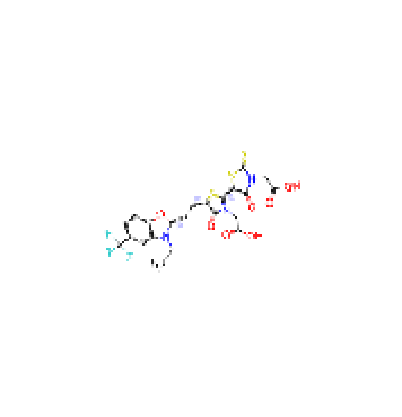 CCN1/C(=C/C=c2/s/c(=C3\SC(=S)N(CC(=O)O)C3=O)n(CC(=O)O)c2=O)Oc2ccc(C(F)(F)F)cc21